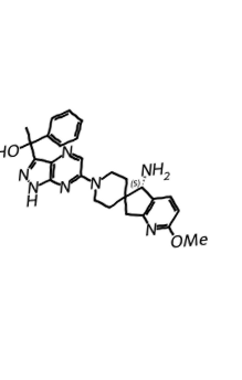 COc1ccc2c(n1)CC1(CCN(c3cnc4c(C(C)(O)c5ccccc5)n[nH]c4n3)CC1)[C@@H]2N